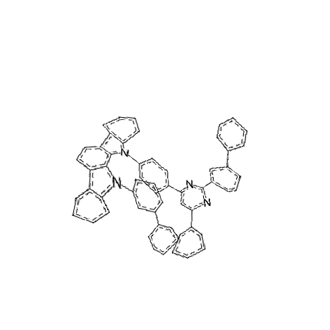 c1ccc(-c2cccc(-c3nc(-c4ccccc4)cc(-c4ccc(-n5c6ccccc6c6ccc7c8ccccc8n(-c8cccc(-c9ccccc9)c8)c7c65)cc4)n3)c2)cc1